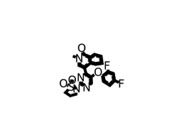 Cn1cc(-c2nc(N3CCCS3(=O)=O)ncc2Oc2ccc(F)cc2F)c2ccccc2c1=O